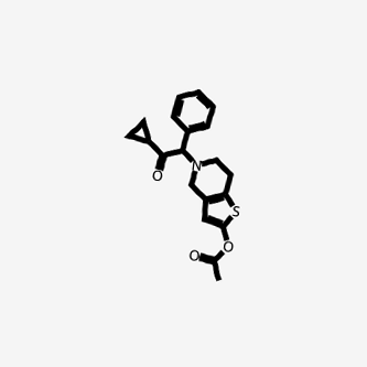 CC(=O)Oc1cc2c(s1)CCN(C(C(=O)C1CC1)c1ccccc1)C2